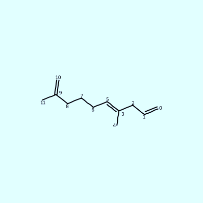 C=CC/C(C)=C/CCCC(=C)C